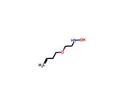 C=CCCOCCNO